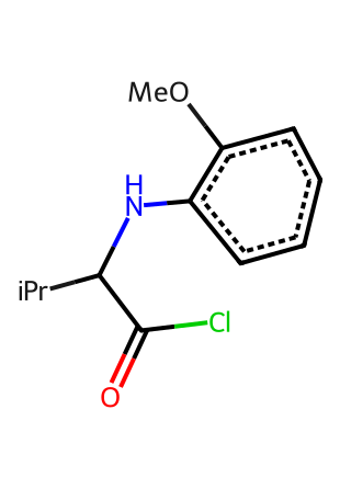 COc1ccccc1NC(C(=O)Cl)C(C)C